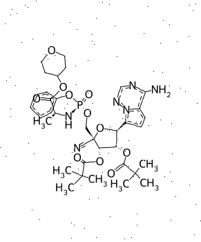 C[C@H](N[P@@](=O)(OC[C@@]1(C#N)O[C@@H](c2ccc3c(N)ncnn23)[C@H](OC(=O)C(C)(C)C)[C@@H]1OC(=O)C(C)(C)C)Oc1ccccc1)C(=O)OC1CCOCC1